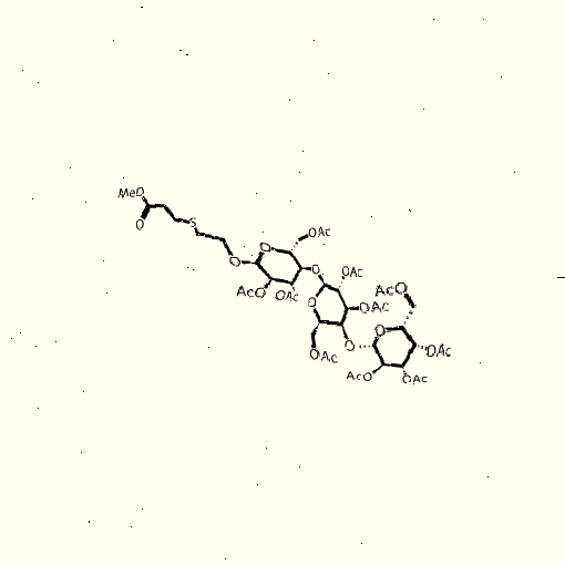 COC(=O)CCSCCO[C@H]1O[C@H](COC(C)=O)[C@@H](O[C@@H]2O[C@H](COC(C)=O)[C@H](O[C@@H]3O[C@H](COC(C)=O)[C@H](OC(C)=O)[C@H](OC(C)=O)[C@H]3OC(C)=O)[C@H](OC(C)=O)[C@H]2OC(C)=O)[C@H](OC(C)=O)[C@H]1OC(C)=O